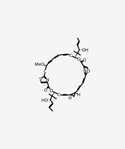 C/C=C/[C@H](O)C(C)(C)[C@@H]1C\C=C/C=C\C=C\[C@H](OC)Cc2nc(cs2)C(=O)O[C@H](C(C)(C)[C@@H](O)/C=C/C)C/C=C\[C@H]2C[C@H]2/C=C/C=C\c2nc(co2)C(=O)O1